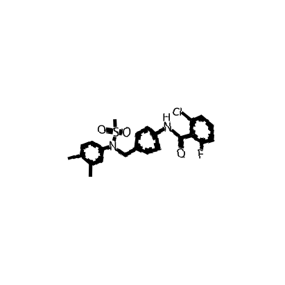 Cc1ccc(N(Cc2ccc(NC(=O)c3c(F)cccc3Cl)cc2)S(C)(=O)=O)cc1C